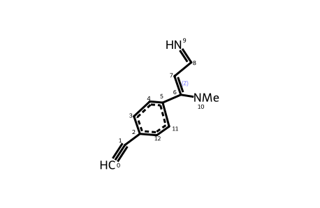 C#Cc1ccc(/C(=C/C=N)NC)cc1